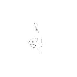 CC(=N)/C(=C(/C)N)c1ccc2ncnc(NC3CCC(N4CCOCC4)CC3)c2c1